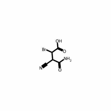 N#CC(C(N)=O)C(Br)C(=O)O